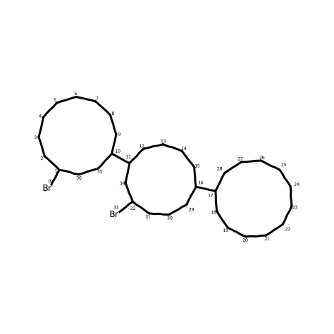 BrC1CCCCCCCCC(C2CCCCC(C3CCCCCCCCCCC3)CCCC(Br)C2)CC1